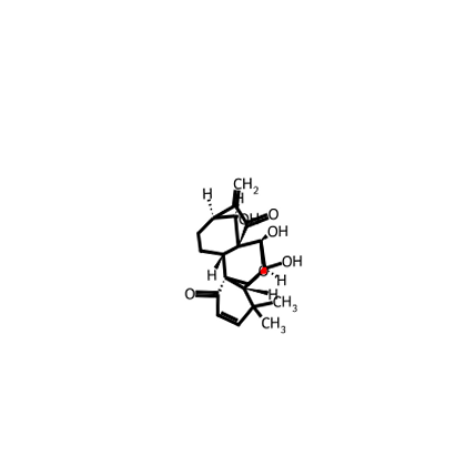 C=C1C(=O)[C@]23[C@H](O)[C@H]1CC[C@H]2[C@@]12CO[C@]3(O)[C@@H](O)[C@@H]1C(C)(C)C=CC2=O